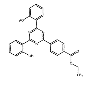 CCOC(=O)c1ccc(-c2nc(-c3ccccc3O)nc(-c3ccccc3O)n2)cc1